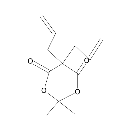 C=CCC1(CC=C)C(=O)OC(C)(C)OC1=O